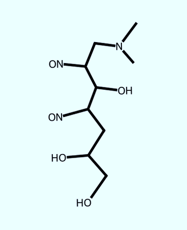 CN(C)CC(N=O)C(O)C(CC(O)CO)N=O